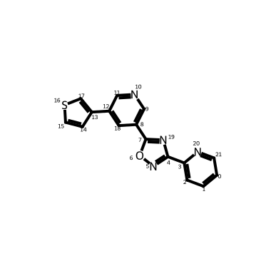 c1ccc(-c2noc(-c3cncc(-c4ccsc4)c3)n2)nc1